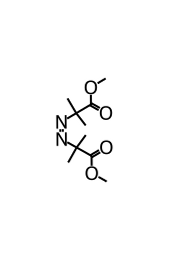 COC(=O)C(C)(C)/N=N\C(C)(C)C(=O)OC